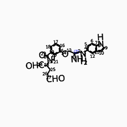 N/C(=C\Nc1ccc2[nH]ccc2c1)COc1cccc2c1CN(C(C=O)CCC=O)C2=O